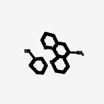 Nc1cc2cccnc2c2ncccc12.Oc1ccccc1